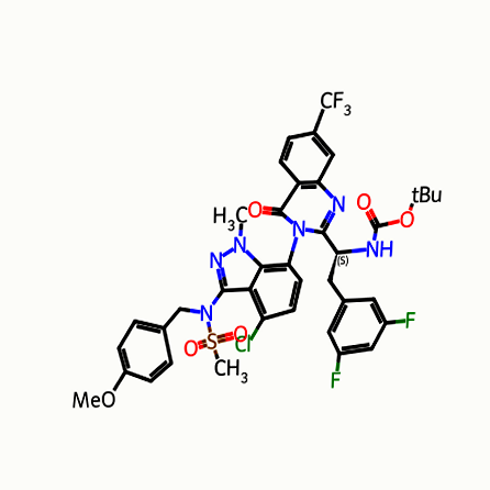 COc1ccc(CN(c2nn(C)c3c(-n4c([C@H](Cc5cc(F)cc(F)c5)NC(=O)OC(C)(C)C)nc5cc(C(F)(F)F)ccc5c4=O)ccc(Cl)c23)S(C)(=O)=O)cc1